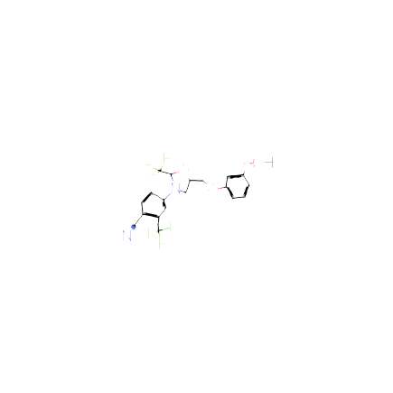 COc1cccc(OCC2CN(c3ccc(C#N)c(C(F)(F)F)c3)C(C(F)(F)F)O2)c1